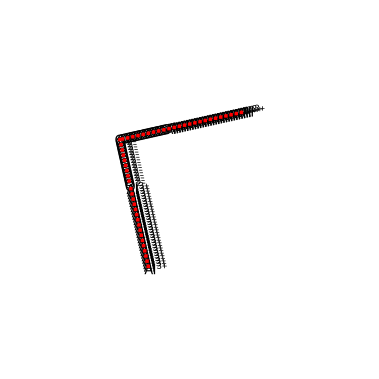 [Al+3].[Al+3].[Al+3].[Al+3].[Al+3].[Al+3].[Al+3].[Al+3].[Al+3].[Al+3].[Al+3].[Al+3].[Al+3].[Al+3].[Al+3].[Al+3].[Al+3].[Al+3].[Al+3].[Al+3].[Al+3].[Al+3].[Al+3].[Al+3].[Al+3].[Al+3].[Al+3].[Al+3].[Al+3].[Al+3].[Al+3].[Al+3].[Al+3].[Al+3].[Al+3].[Al+3].[Al+3].[Al+3].[Al+3].[Al+3].[Al+3].[Al+3].[Al+3].[Al+3].[Al+3].[Al+3].[Al+3].[Al+3].[Al+3].[Al+3].[Al+3].[Al+3].[Al+3].[Al+3].[Al+3].[Al+3].[Al+3].[Al+3].[Al+3].[Al+3].[Al+3].[Al+3].[Al+3].[O-2].[O-2].[O-2].[O-2].[O-2].[O-2].[O-2].[O-2].[O-2].[O-2].[O-2].[O-2].[O-2].[O-2].[O-2].[O-2].[O-2].[O-2].[O-2].[O-2].[O-2].[O-2].[O-2].[O-2].[O-2].[O-2].[O-2].[O-2].[O-2].[O-2].[O-2].[O-2].[O-2].[O-2].[O-2].[O-2].[O-2]